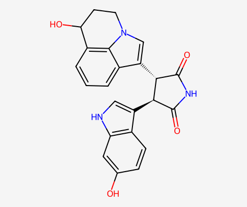 O=C1NC(=O)[C@@H](c2cn3c4c(cccc24)C(O)CC3)[C@@H]1c1c[nH]c2cc(O)ccc12